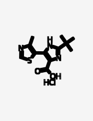 Cc1ncsc1-c1[nH]c(C(C)(C)C)nc1C(=O)O.Cl